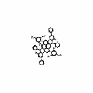 CC(C)c1cc(C(C)C)c(-c2cc3c4c(cc5c(-c6c(C(C)C)cc(C(C)C)cc6C(C)C)cc6c7c(cc2c4c57)B2c4ccccc4Oc4cc(-c5ccccc5)cc-6c42)B2c4ccccc4Oc4cc(-c5ccccc5)cc-3c42)c(C(C)C)c1